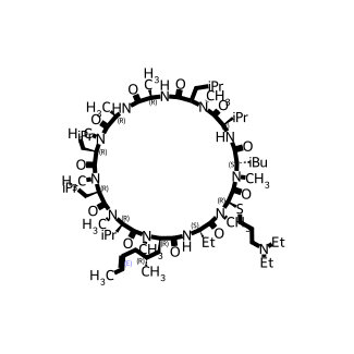 C/C=C/C[C@@H](C)C[C@@H]1C(=O)N[C@@H](CC)C(=O)N(C)[C@H](SCCCN(CC)CC)C(=O)N(C)[C@@H](C(C)CC)C(=O)N[C@H](C(C)C)C(=O)N(C)C(CC(C)C)C(=O)N[C@H](C)C(=O)N[C@H](C)C(=O)N(C)[C@H](CC(C)C)C(=O)N(C)[C@H](CC(C)C)C(=O)N(C)[C@H](C(C)C)C(=O)N1C